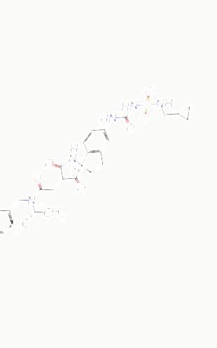 C[C@H](N(Cc1ccc(F)cc1)C(=O)CC1C(=O)N[C@@]2(CCc3cc(NC(=O)NS(=O)(=O)NCC4CC4)ccc32)C1=O)C(F)(F)F